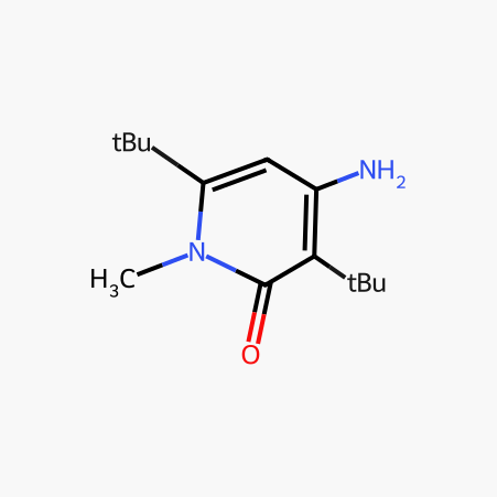 Cn1c(C(C)(C)C)cc(N)c(C(C)(C)C)c1=O